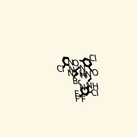 Cc1cc(Cl)cc(C(=O)NCCNc2ncc(C(F)(F)F)cc2Cl)c1NC(=O)c1cc(Br)nn1-c1ncccc1Cl